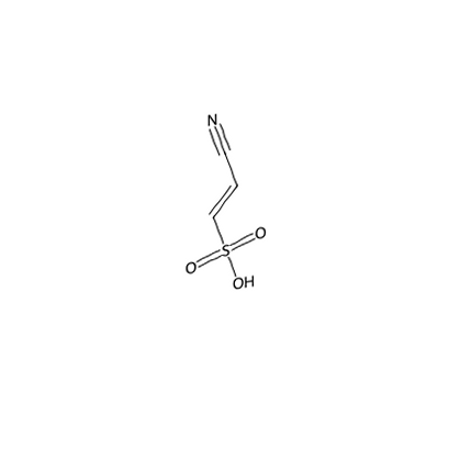 N#CC=CS(=O)(=O)O